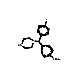 COc1ccc(C(c2ccc(F)cc2)N2CCNCC2)cc1